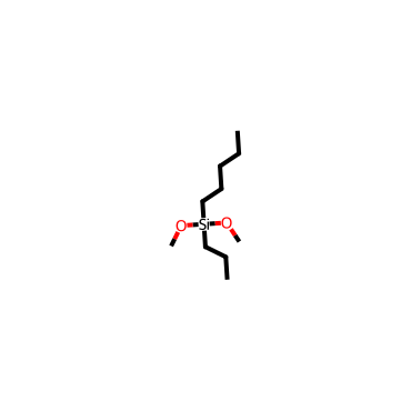 CCCCC[Si](CCC)(OC)OC